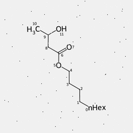 CCCCCCCCCCOC(=O)CC(C)O